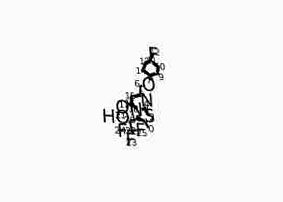 Cc1sc2nc(COc3ccc(F)cc3)cc(=O)n2c1C(O)C(F)(F)F